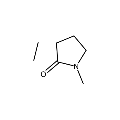 CC.CN1CCCC1=O